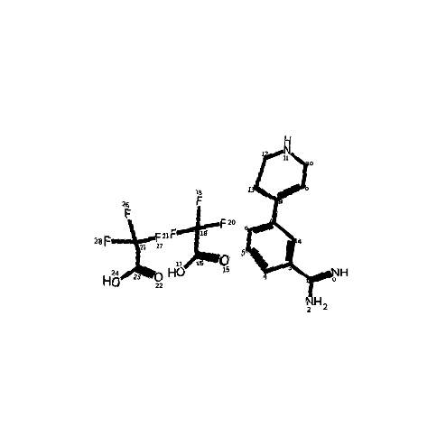 N=C(N)c1cccc(C2=CCNCC2)c1.O=C(O)C(F)(F)F.O=C(O)C(F)(F)F